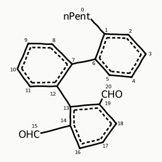 CCCCCc1ccccc1-c1ccccc1-c1c(C=O)cccc1C=O